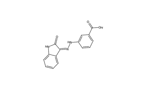 O=C1Nc2ccccc2/C1=N/Nc1cccc(C(=O)O)c1